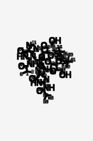 CC(C)C(=O)Nc1nc2c(ncn2[C@@H]2O[C@H](CO)[C@@H](O[Si](C)(C)C(C)(C)C)[C@@H]2O[PH](=O)O[C@H]2[C@H](O[Si](C)(C)C(C)(C)C)[C@@H](CO)O[C@H]2n2cnc3c(=O)[nH]c(NC(=O)C(C)C)nc32)c(=O)[nH]1